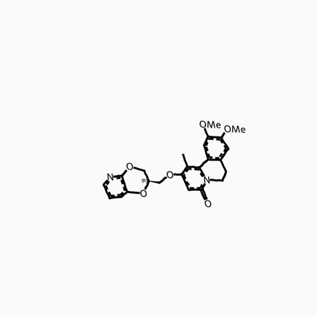 COc1cc2c(cc1OC)-c1c(C)c(OC[C@@H]3COc4ncccc4O3)cc(=O)n1CC2